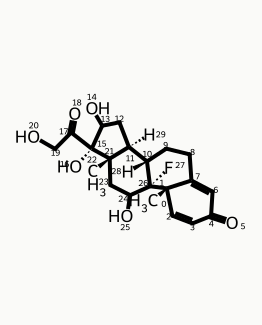 C[C@]12C=CC(=O)C=C1CC[C@H]1[C@@H]3CC(O)[C@](O)(C(=O)CO)[C@@]3(C)CC(O)[C@@]12F